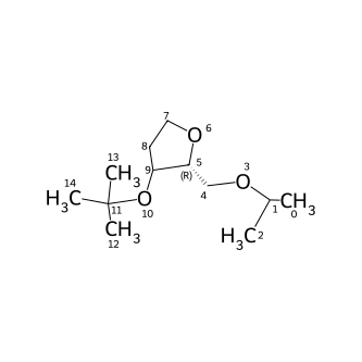 CC(C)OC[C@H]1OCCC1OC(C)(C)C